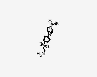 CC(C)C(=O)N1CC2CC1CN2c1ccc(S(=O)(=O)CCN)cc1